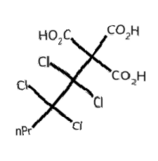 CCCC(Cl)(Cl)C(Cl)(Cl)C(C(=O)O)(C(=O)O)C(=O)O